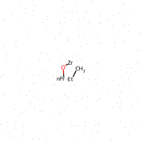 CCC[O][Zr].C[CH]C